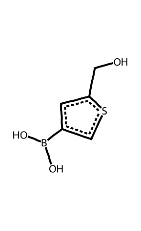 OCc1cc(B(O)O)cs1